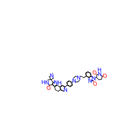 CN1CC2(CNC(=O)c3c2[nH]c2c3CCc3cnc(-c4ccc(N5CCN(CCc6cccc7c6n(C)c(=O)n7C6CCC(=O)NC6=O)CC5)cc4)cc3-2)C1